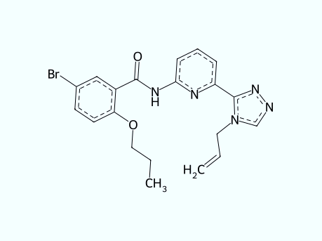 C=CCn1cnnc1-c1cccc(NC(=O)c2cc(Br)ccc2OCCC)n1